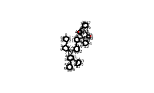 c1ccc(-c2cccc(N(c3cccc(-c4cccc5c4-c4ccccc4C54c5ccccc5-n5c6ccccc6c6cccc4c65)c3)c3ccc(-c4ccccc4)c(-c4ccccc4)c3)c2)cc1